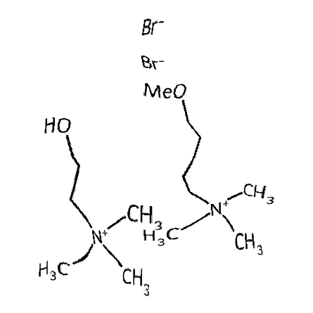 COCC[N+](C)(C)C.C[N+](C)(C)CCO.[Br-].[Br-]